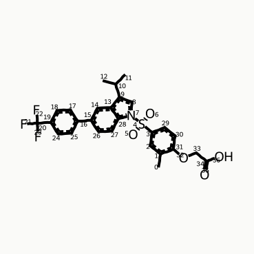 Cc1cc(S(=O)(=O)n2cc(C(C)C)c3cc(-c4ccc(C(F)(F)F)cc4)ccc32)ccc1OCC(=O)O